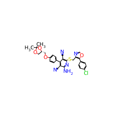 CC1(C)OC[C@@H](COc2ccc(-c3c(C#N)c(N)nc(SCc4ncoc4-c4ccc(Cl)cc4)c3C#N)cc2)O1